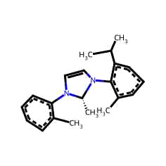 Cc1ccccc1N1C=CN(c2c(C)cccc2C(C)C)[C@@H]1C